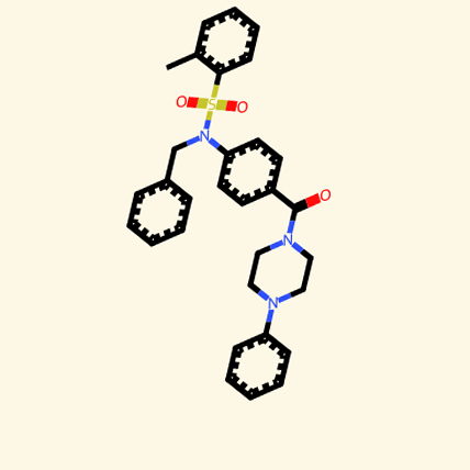 Cc1ccccc1S(=O)(=O)N(Cc1ccccc1)c1ccc(C(=O)N2CCN(c3ccccc3)CC2)cc1